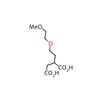 COCCOCCC(CC(=O)O)C(=O)O